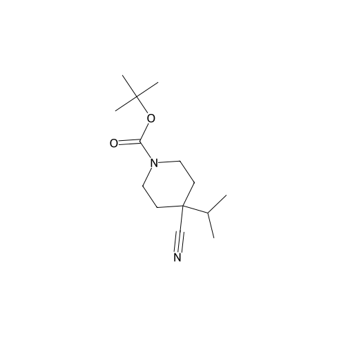 CC(C)C1(C#N)CCN(C(=O)OC(C)(C)C)CC1